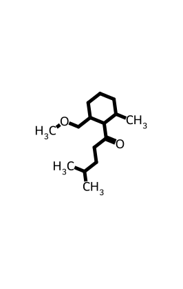 COCC1CCCC(C)C1C(=O)CCC(C)C